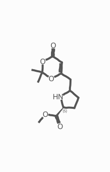 COC(=O)[C@@H]1CCC(CC2=CC(=O)OC(C)(C)O2)N1